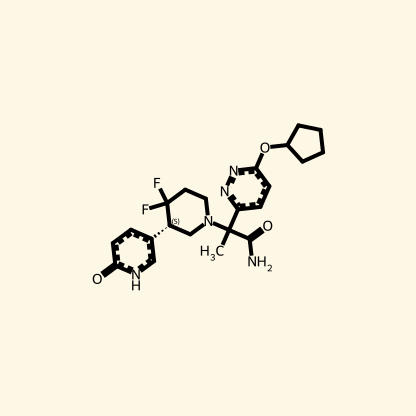 CC(C(N)=O)(c1ccc(OC2CCCC2)nn1)N1CCC(F)(F)[C@@H](c2ccc(=O)[nH]c2)C1